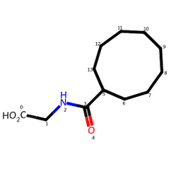 O=C(O)CNC(=O)C1CCCCCCCC1